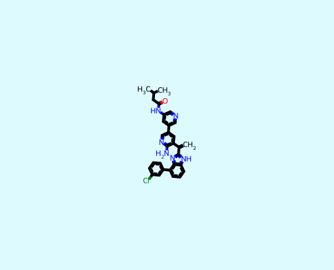 C=C(c1nc2c(-c3cccc(Cl)c3)cccc2[nH]1)c1cc(-c2cncc(NC(=O)CC(C)C)c2)cnc1N